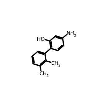 Cc1cccc(-c2ccc(N)cc2O)c1C